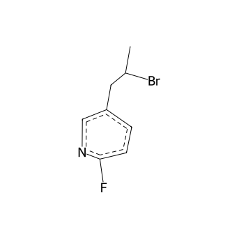 CC(Br)Cc1ccc(F)nc1